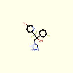 OC(CN1C=NNN1)(c1cccc(F)c1)C(F)(F)c1ccc(Br)cn1